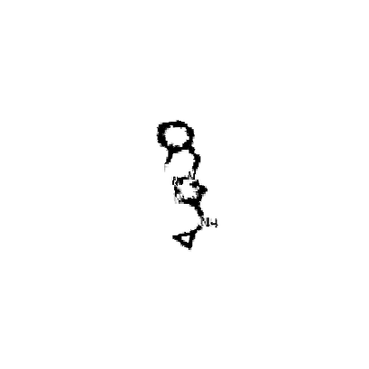 Fc1ccccc1Cn1cc(NC2CC2)nn1